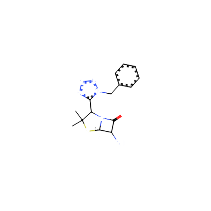 CC1(C)S[C@@H]2C(N)C(=O)N2C1c1nnnn1Cc1ccccc1